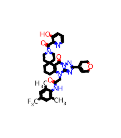 Cc1cc(C(F)(F)F)cc(C)c1NC(=O)Cn1c2c(c(=O)n3nc(C4=CCOCC4)nc13)C1(CCC2)CCN(C(=O)c2ncccc2O)CC1